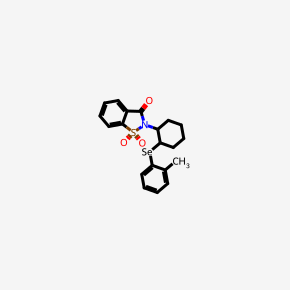 Cc1ccccc1[Se]C1CCCCC1N1C(=O)c2ccccc2S1(=O)=O